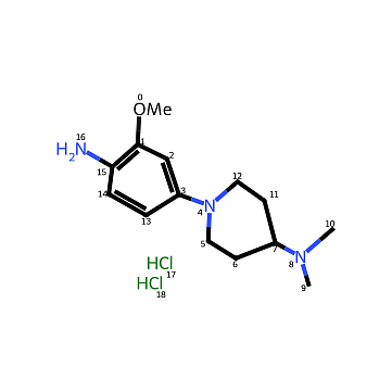 COc1cc(N2CCC(N(C)C)CC2)ccc1N.Cl.Cl